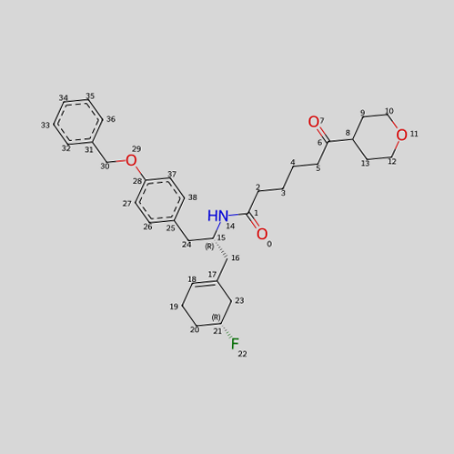 O=C(CCCCC(=O)C1CCOCC1)N[C@H](CC1=CCC[C@@H](F)C1)Cc1ccc(OCc2ccccc2)cc1